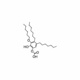 CCCCCCCc1cc(OC(=O)O)c(O)c(OCCCCCC)c1CCCCCCC